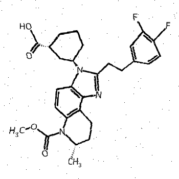 COC(=O)N1c2ccc3c(nc(CCc4ccc(F)c(F)c4)n3[C@@H]3CCC[C@@H](C(=O)O)C3)c2CC[C@@H]1C